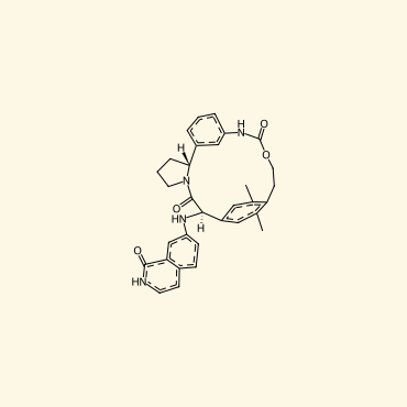 Cc1cc2cc(C)c1CCOC(=O)Nc1cccc(c1)[C@H]1CCCN1C(=O)[C@@H]2Nc1ccc2cc[nH]c(=O)c2c1